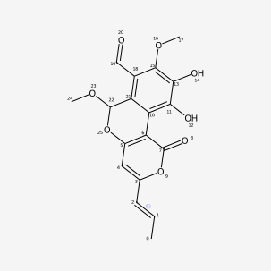 C/C=C/c1cc2c(c(=O)o1)-c1c(O)c(O)c(OC)c(C=O)c1C(OC)O2